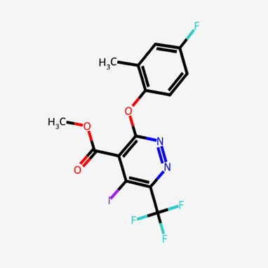 COC(=O)c1c(Oc2ccc(F)cc2C)nnc(C(F)(F)F)c1I